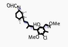 CO/N=C/c1c(C)c(Cl)c(OC)c(C/C=C(C)/C=C/[C@@]2(C)[C@H](C)CC/C(=N\C=O)[C@@H]2C)c1O